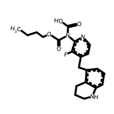 CCCCOC(=O)N(C(=O)O)c1nccc(Cc2cccc3c2CCCN3)c1F